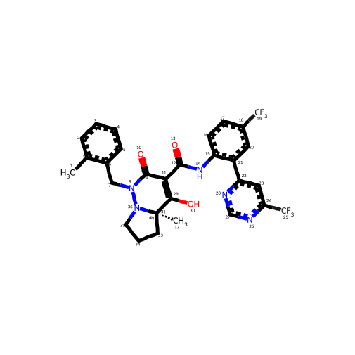 Cc1ccccc1CN1C(=O)C(C(=O)Nc2ccc(C(F)(F)F)cc2-c2cc(C(F)(F)F)ncn2)=C(O)[C@@]2(C)CCCN12